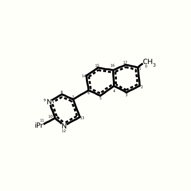 Cc1ccc2cc(-c3cnc(C(C)C)nc3)ccc2c1